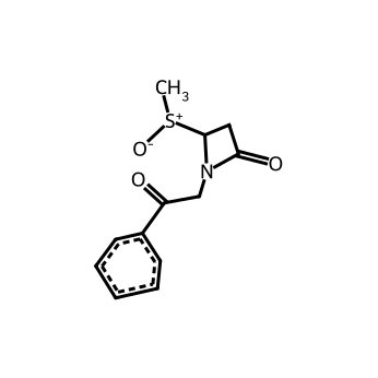 C[S+]([O-])C1CC(=O)N1CC(=O)c1ccccc1